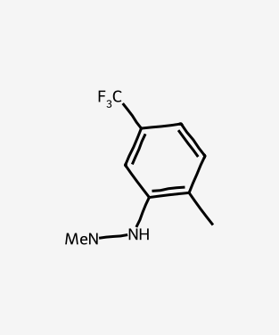 CNNc1cc(C(F)(F)F)ccc1C